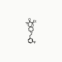 CC[C@H]1OC2(CCN(CCc3cccc(F)c3)CC2)CN(C)C1=O